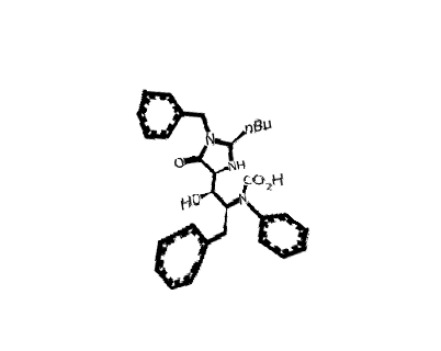 CCCC[C@H]1N[C@@H]([C@H](O)[C@H](Cc2ccccc2)N(C(=O)O)c2ccccc2)C(=O)N1Cc1ccccc1